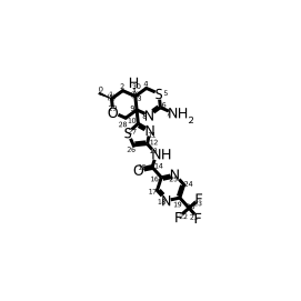 C[C@H]1C[C@H]2CSC(N)=NC2(c2nc(NC(=O)c3cnc(C(F)(F)F)cn3)cs2)CO1